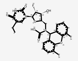 CCc1cn([C@@H]2O[C@H](CN(C(=O)O)C3c4cccc(F)c4Oc4c(F)cccc43)[C@@H](O)[C@H]2F)c(=O)[nH]c1=O